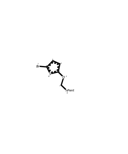 CCCCCCOc1ccc(Br)s1